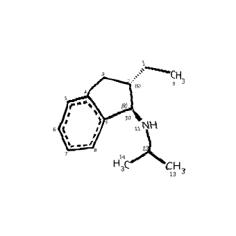 CC[C@H]1Cc2ccccc2[C@@H]1NC(C)C